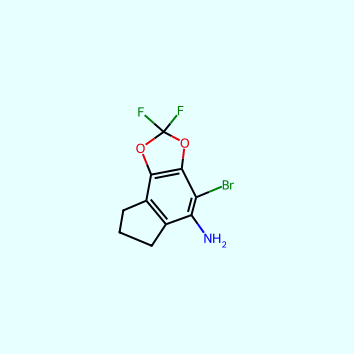 Nc1c(Br)c2c(c3c1CCC3)OC(F)(F)O2